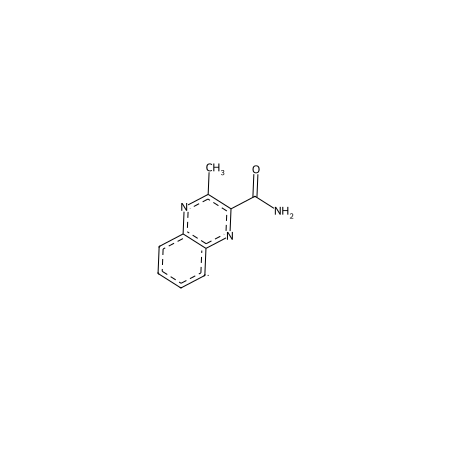 Cc1nc2ccc[c]c2nc1C(N)=O